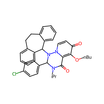 CCCCOc1c2n(ccc1=O)N(C1c3ccccc3CCc3ccccc31)C(c1ccc(Cl)cc1)N(C(C)C)C2=O